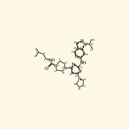 CC(C)CCNC(=O)N1CCN(c2cc(N3CCCC3)nc(Nc3cc4c(cn3)cnn4C(C)C)n2)CC1